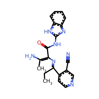 CC/C(=N\C(C(=O)Nc1nc2ccccc2[nH]1)=C(/C)N)c1ccncc1C#N